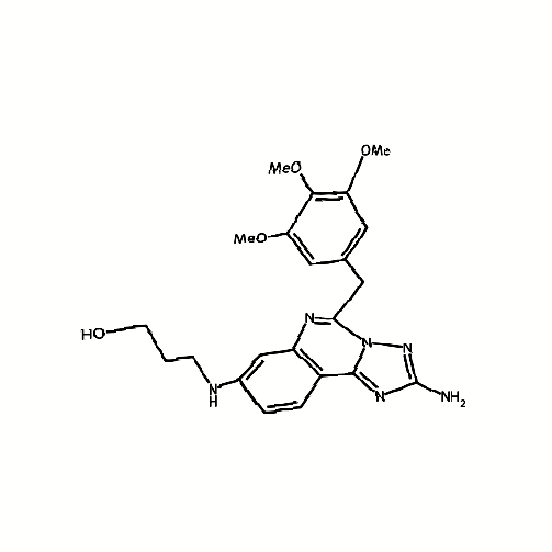 COc1cc(Cc2nc3cc(NCCCO)ccc3c3nc(N)nn23)cc(OC)c1OC